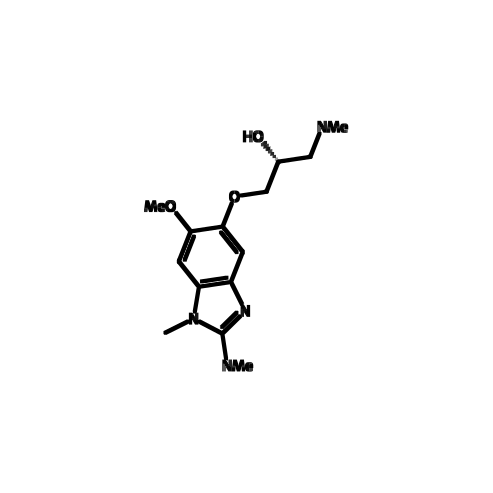 CNC[C@@H](O)COc1cc2nc(NC)n(C)c2cc1OC